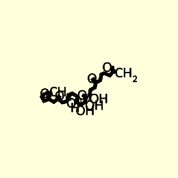 C=C1COC(CCC(=O)CCC(O)[C@@H]2OC3CCC(CC(=O)CC4CCO[C@H]4C)O[C@@H]3C(O)C2O)C1